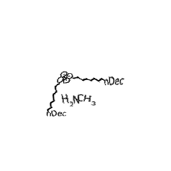 CCCCCCCCCCCCCCCCCCOS(=O)(=O)OCCCCCCCCCCCCCCCCCC.CN